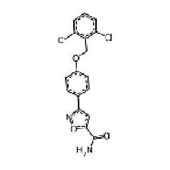 NC(=O)c1cc(-c2ccc(OCc3c(Cl)cccc3Cl)cc2)no1